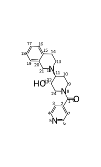 O=C(c1ccncc1)N1CC[C@H](N2CCc3ccccc3C2)[C@@H](O)C1